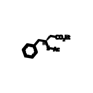 CCOC(=O)C[C@@H](Cc1ccccc1)SC(C)=O